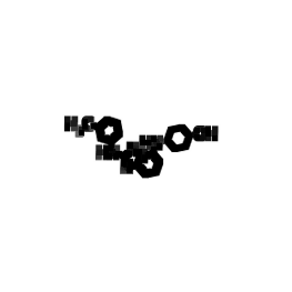 Cc1cccc(Nc2nc3cccc(N[C@H]4CC[C@@H](O)CC4)n3n2)c1